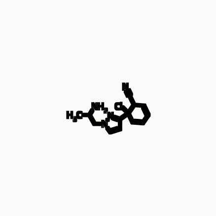 CC(N)Cn1ccc(C2(Cl)C=CC=CC2C#N)n1